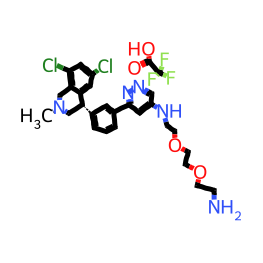 CN1Cc2c(Cl)cc(Cl)cc2[C@H](c2cccc(-c3cc(NCCOCCOCCN)cnn3)c2)C1.O=C(O)C(F)(F)F